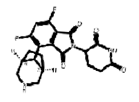 O=C1CCC(N2C(=O)c3c(F)cc(F)c(C4[C@@H]5CC[C@H]4CNC5)c3C2=O)C(=O)N1